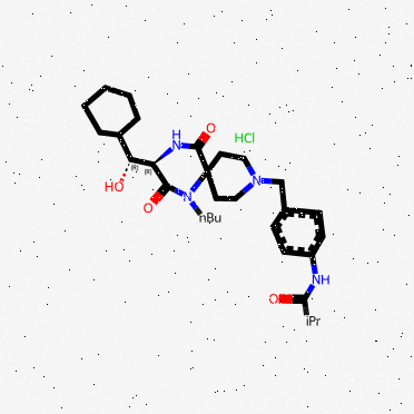 CCCCN1C(=O)[C@@H]([C@H](O)C2CCCCC2)NC(=O)C12CCN(Cc1ccc(NC(=O)C(C)C)cc1)CC2.Cl